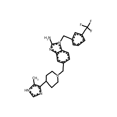 Cc1[nH]cnc1C1CCN(Cc2ccc3c(c2)nc(N)n3Cc2cccc(C(F)(F)F)c2)CC1